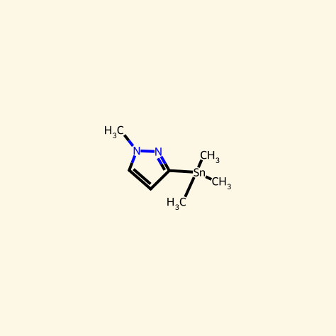 Cn1cc[c]([Sn]([CH3])([CH3])[CH3])n1